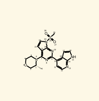 C[C@@H]1COCCN1c1nc(-c2ccnc3[nH]ccc23)nc2c1ccn2S(C)(=O)=O